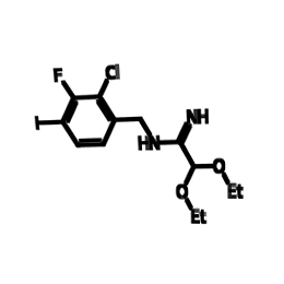 CCOC(OCC)C(=N)NCc1ccc(I)c(F)c1Cl